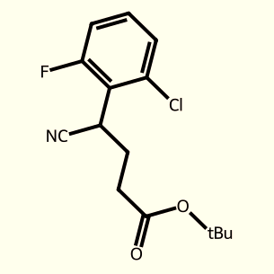 CC(C)(C)OC(=O)CCC(C#N)c1c(F)cccc1Cl